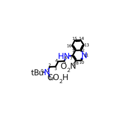 CC(C)(C)N(CCCCNc1c([N+](=O)[O-])cnc2ccccc12)C(=O)O